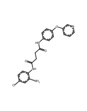 Nc1cc(Cl)ccc1NC(=O)CCC(=O)Nc1ccc(Oc2cccnc2)cc1